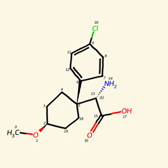 CO[C@H]1CC[C@](c2ccc(Cl)cc2)([C@H](N)C(=O)O)CC1